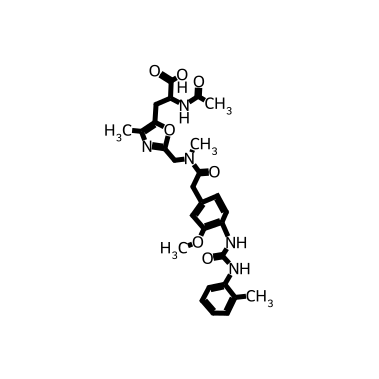 COc1cc(CC(=O)N(C)Cc2nc(C)c(CC(NC(C)=O)C(=O)O)o2)ccc1NC(=O)Nc1ccccc1C